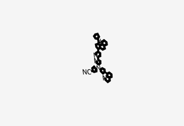 N#Cc1ccc(N(c2ccc(-c3cccc4cccnc34)cc2)c2ccc(-c3ccc(-c4ccc5c6c4ccc4cccc(c46)n5-c4ccccc4)cn3)nc2)cc1